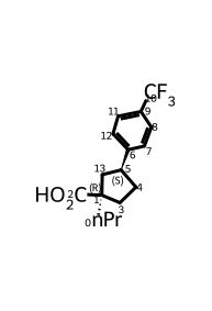 CCC[C@@]1(C(=O)O)CC[C@H](c2ccc(C(F)(F)F)cc2)C1